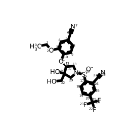 CCOc1cc(C#N)ccc1O[C@H]1CN([S+]([O-])c2ccc(C(F)(F)F)cc2C#N)CC1(O)CO